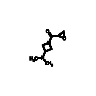 CN(C)C1CN(C(=O)C2CO2)C1